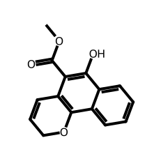 COC(=O)c1c2c(c3ccccc3c1O)OCC=C2